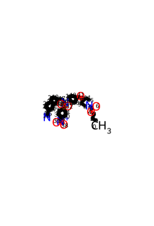 CCCCOC(=O)N1CCC(Oc2ccc(N(Cc3ccc4ccc(C#N)cc4c3)S(=O)(=O)c3ccc([N+](=O)[O-])cc3)cc2)CC1